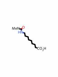 CNC(=O)NCCCCCCCCC(=O)O